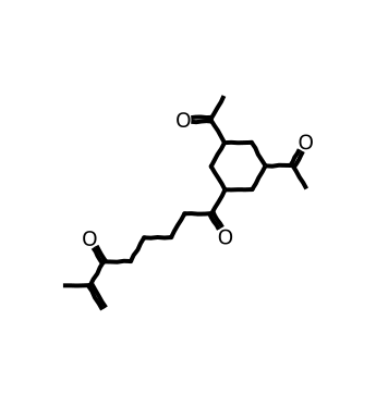 C=C(C)C(=O)CCCCC(=O)C1CC(C(C)=O)CC(C(C)=O)C1